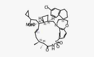 CO[C@@]1(CC(O)C2CC2)/C=C/C[C@H](C)[C@@H](C)C(=O)NS(=O)(=O)c2ccc3c(c2)N(C[C@@H]2CC[C@H]21)C[C@@]1(CCCc2cc(Cl)ccc21)CO3